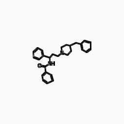 O=C(NC(CCN1CCC(Cc2ccccc2)CC1)c1ccccc1)c1ccccc1